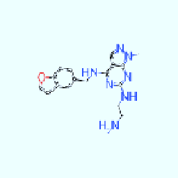 Cn1ncc2c(NCc3ccc4occc4c3)nc(NCCN)nc21